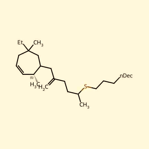 C=C(CCC(C)SCCCCCCCCCCCCC)CC1CC(C)(CC)CC=C[C@H]1C